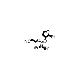 CCC1OCCC1OP(OCCC#N)N(C(C)C)C(C)C